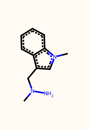 CN(N)Cc1cn(C)c2ccccc12